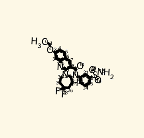 CCOc1ccc2cc(C(=O)Nc3cccc(S(N)(=O)=O)c3)c(N3CCCC(F)(F)CC3)nc2c1